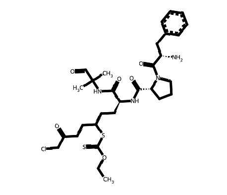 CCOC(=S)SC(CCC(=O)CCl)CC[C@H](NC(=O)[C@H]1CCCN1C(=O)[C@@H](N)Cc1ccccc1)C(=O)NC(C)(C)C=O